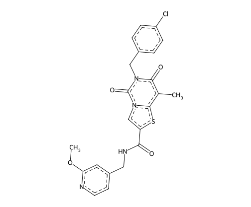 COc1cc(CNC(=O)c2cn3c(=O)n(Cc4ccc(Cl)cc4)c(=O)c(C)c3s2)ccn1